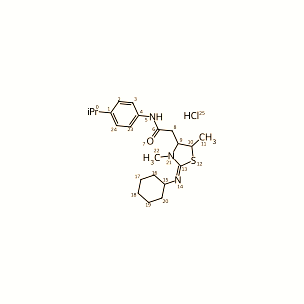 CC(C)c1ccc(NC(=O)CC2C(C)SC(=NC3CCCCC3)N2C)cc1.Cl